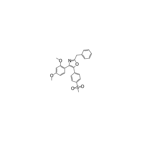 COc1ccc(-c2nc(Cc3ccccc3)oc2-c2ccc(S(C)(=O)=O)cc2)c(OC)c1